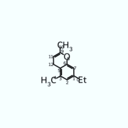 CCc1cc(C)c2c(c1)OC(C)=CC2